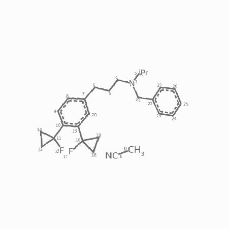 CC#N.CC(C)N(CCCc1ccc(C2(F)CC2)c(C2(F)CC2)c1)Cc1ccccc1